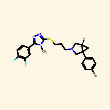 Cn1c(SCCCN2C[C@@H]3CC3(c3ccc(Br)cc3)C2)nnc1-c1ccc(F)c(F)c1